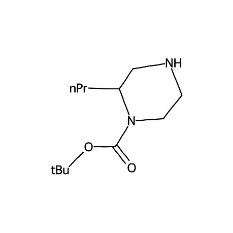 CCCC1CNCCN1C(=O)OC(C)(C)C